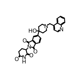 O=C1CCC(N2C(=O)c3ccc(C4(O)CCN(Cc5ccnc6ccccc56)CC4)cc3C2=O)C(=O)N1